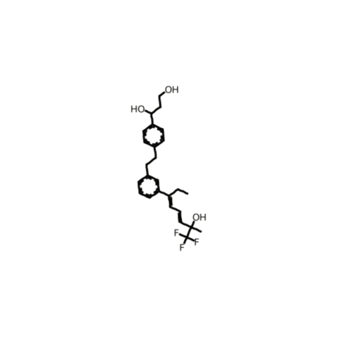 CC/C(=C\C=C\C(C)(O)C(F)(F)F)c1cccc(CCc2ccc(C(O)CCO)cc2)c1